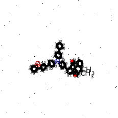 CC1(C)c2ccccc2C2(c3ccccc3-c3c(-c4ccc(N(c5ccc(-c6ccccc6)cc5)c5ccc(-c6ccc7c(c6)oc6ccccc67)cc5)cc4)cccc32)c2ccccc21